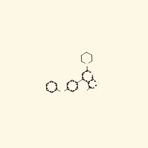 Nc1n[nH]c2nc(N3CCCCC3)cc(-c3ccc(Oc4ccccc4)cc3)c12